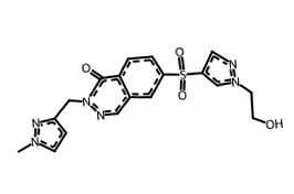 Cn1ccc(Cn2ncc3cc(S(=O)(=O)c4cnn(CCO)c4)ccc3c2=O)n1